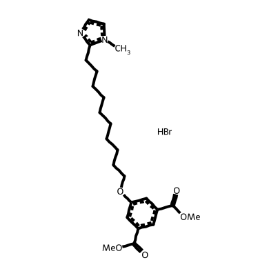 Br.COC(=O)c1cc(OCCCCCCCCCCc2nccn2C)cc(C(=O)OC)c1